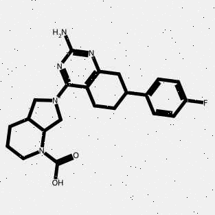 Nc1nc2c(c(N3CC4CCCN(C(=O)O)C4C3)n1)CCC(c1ccc(F)cc1)C2